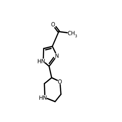 CC(=O)c1c[nH]c(C2CNCCO2)n1